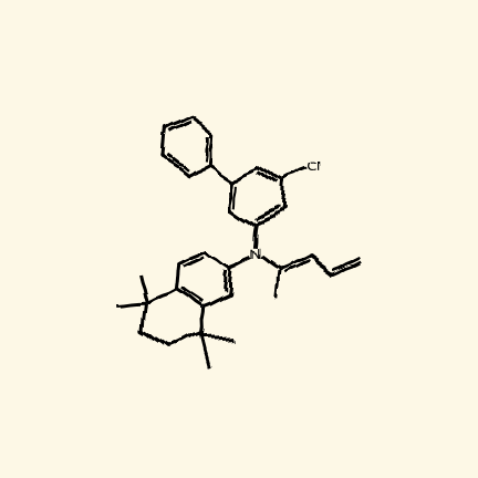 C=C/C=C(\C)N(c1cc(Cl)cc(-c2ccccc2)c1)c1ccc2c(c1)C(C)(C)CCC2(C)C